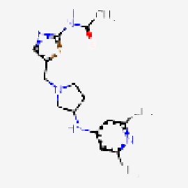 CC(=O)Nc1ncc(CN2CCC(Nc3cc(C)nc(C)c3)C2)s1